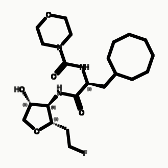 O=C(N[C@H]1[C@H](CCF)OC[C@@H]1O)[C@H](CC1CCCCCCC1)NC(=O)N1CCOCC1